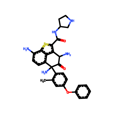 Cc1cc(Oc2ccccc2)ccc1C1(N)C(=O)C(N)c2c(C(=O)NC3CCNC3)sc3c(N)ccc1c23